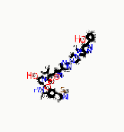 Cc1ncsc1-c1ccc([C@H](C)NC(=O)[C@@H]2C[C@@H](O)CN2C(=O)[C@@H](c2cc(-c3cnc(N4CCN(c5cc6nnc(-c7ccccc7O)cc6n5C)CC4)nc3)no2)C(C)C)cc1